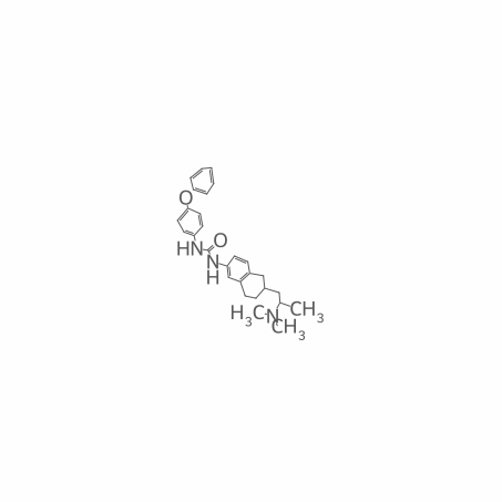 CC(CC1CCc2cc(NC(=O)Nc3ccc(Oc4ccccc4)cc3)ccc2C1)N(C)C